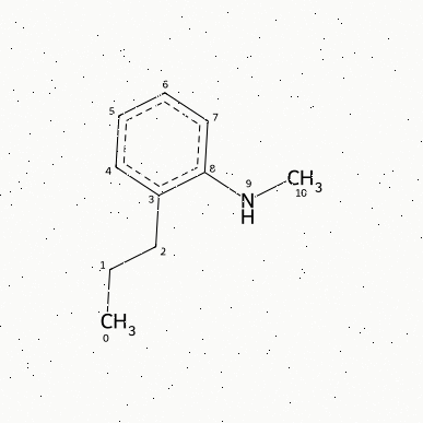 CCCc1ccccc1NC